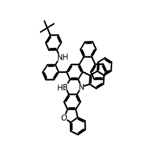 CC(C)(C)c1ccc(Nc2ccccc2-c2cc(-c3ccccc3-c3ccccc3)c3c4c5ccccc5ccc4n4c3c2Bc2cc3oc5ccccc5c3cc2-4)cc1